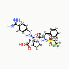 N=C(N)c1ccc(CNC(=O)[C@]2(CC(=O)O)CCCN2C(=O)[C@@H](Cc2ccccc2)NS(=O)(=O)CC(F)(F)F)cc1